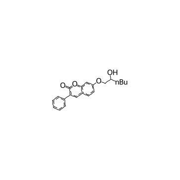 [CH2]CCCC(O)COc1ccc2cc(-c3ccccc3)c(=O)oc2c1